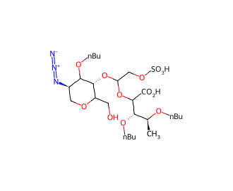 CCCCOC1[C@H](OC(COS(=O)(=O)O)OC(C(=O)O)[C@@H](OCCCC)[C@H](C)OCCCC)C(CO)OC[C@H]1N=[N+]=[N-]